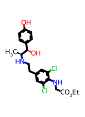 CCOC(=O)CNc1c(Cl)cc(CCN[C@@H](C)[C@H](O)c2ccc(O)cc2)cc1Cl